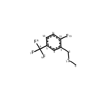 CSCc1cc(C(F)(F)F)ccc1F